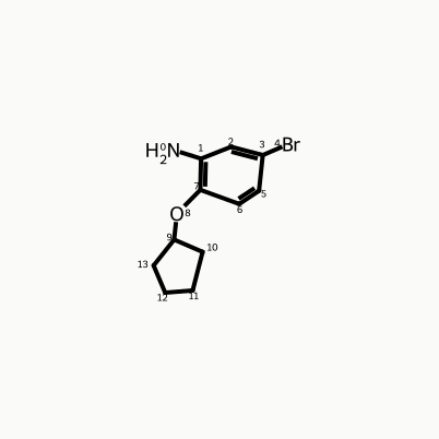 Nc1cc(Br)ccc1OC1CCCC1